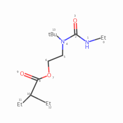 CCNC(=O)N(CCOC(=O)C(CC)CC)C(C)(C)C